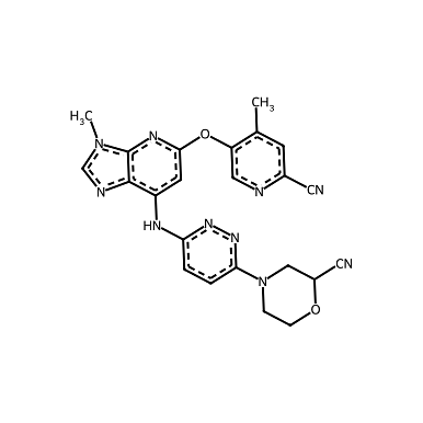 Cc1cc(C#N)ncc1Oc1cc(Nc2ccc(N3CCOC(C#N)C3)nn2)c2ncn(C)c2n1